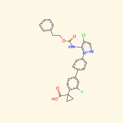 O=C(Nc1c(Cl)cnn1-c1ccc(-c2ccc(C3(C(=O)O)CC3)c(F)c2)cc1)OCCc1ccccc1